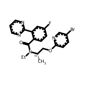 CCN(C(=O)c1ccc(F)cc1-c1ncccn1)[C@@H](C)COc1ccc(Br)cn1